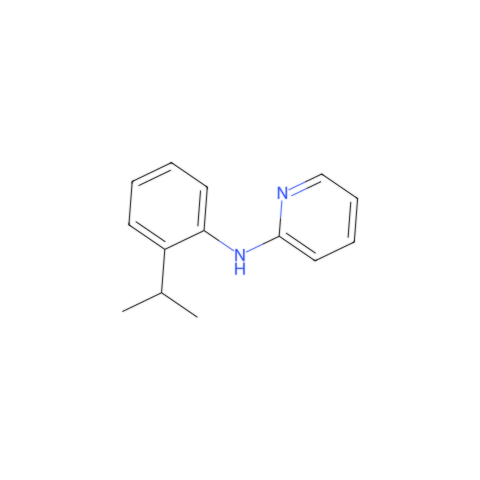 CC(C)c1ccccc1Nc1ccccn1